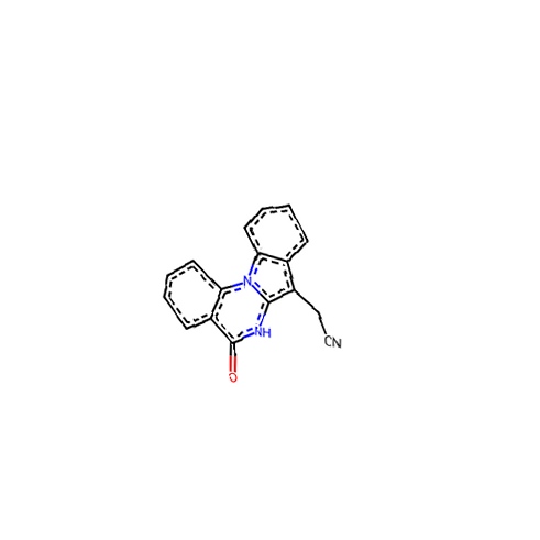 N#CCc1c2ccccc2n2c1[nH]c(=O)c1ccccc12